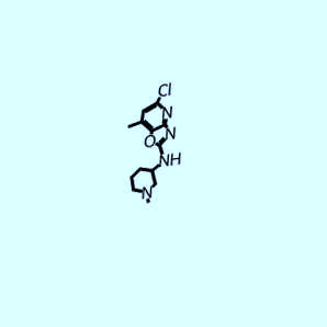 Cc1cc(Cl)nc2nc(NC3CCCN(C)C3)oc12